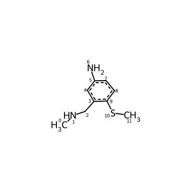 CNCc1cc(N)ccc1SC